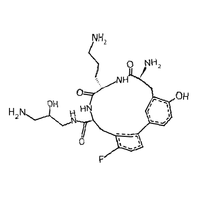 NCCC[C@@H]1NC(=O)[C@@H](N)Cc2cc(ccc2O)-c2ccc(F)c(c2)C[C@@H](C(=O)NCC(O)CN)NC1=O